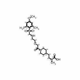 COc1cc(C)c(S(=O)(=O)CNCCOCC(=O)N2CCC(CCN(C)C(=O)O)CC2)c(C)c1